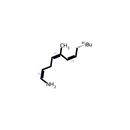 CC[C@@H](C)C/C=C\C(C)=C/C/C=C\N